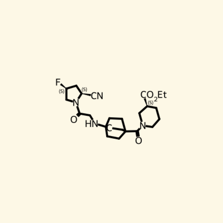 CCOC(=O)[C@H]1CCCN(C(=O)C23CCC(NCC(=O)N4C[C@@H](F)C[C@H]4C#N)(CC2)CC3)C1